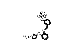 CN1CCC(Oc2ccccc2OCc2cccc(OS(C)(=O)=O)c2)C1